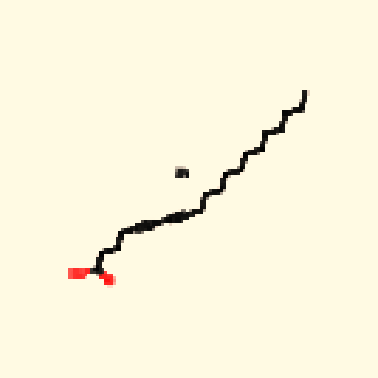 CCCCCCCCCCCCC#CC#CCCCC(=O)O.[Zn]